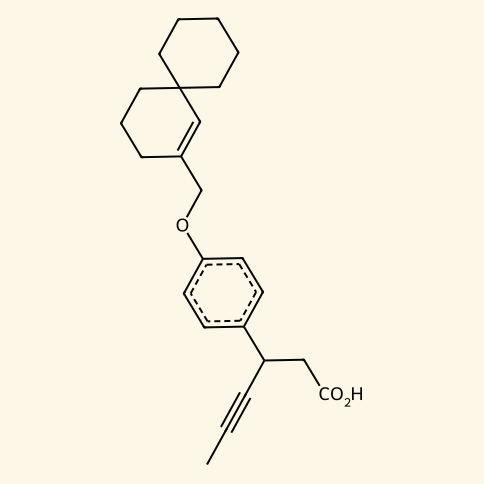 CC#CC(CC(=O)O)c1ccc(OCC2=CC3(CCCCC3)CCC2)cc1